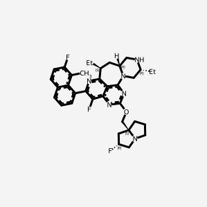 CC[C@@H]1CN2c3nc(OC[C@@]45CCCN4C[C@H](F)C5)nc4c(F)c(-c5cccc6ccc(F)c(C)c56)nc(c34)[C@@H](CC)C[C@@H]2CN1